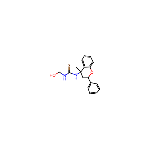 CC1(NC(=S)NCO)CC(c2ccccc2)Oc2ccccc21